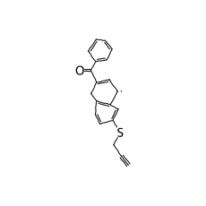 C#CCSc1ccc2c(c1)[CH]C=C(C(=O)c1ccccc1)C2